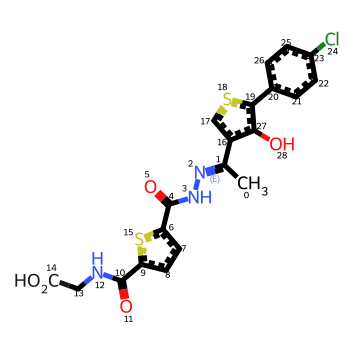 C/C(=N\NC(=O)c1ccc(C(=O)NCC(=O)O)s1)c1csc(-c2ccc(Cl)cc2)c1O